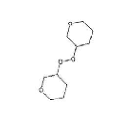 C1COCC(OOC2CCCOC2)C1